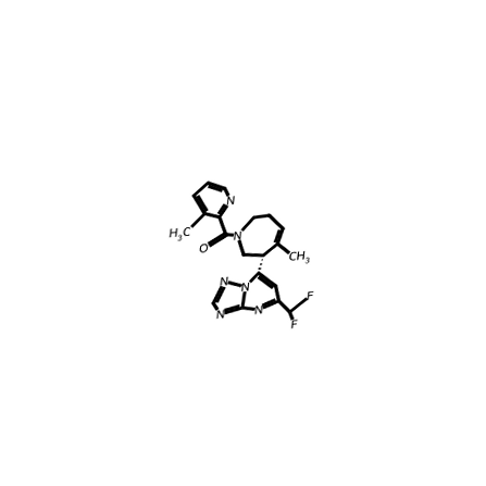 CC1=CCCN(C(=O)c2ncccc2C)C[C@H]1c1cc(C(F)F)nc2ncnn12